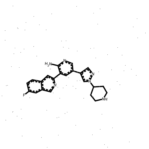 Nc1ncc(-c2cnn(C3CCNCC3)c2)cc1-c1cc2ccc(F)cc2cn1